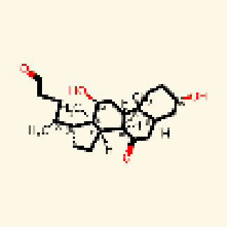 C[C@H](CCC=O)[C@H]1CC[C@H]2[C@@H]3C(=O)C[C@@H]4C[C@H](O)CC[C@]4(C)[C@H]3C[C@H](O)[C@]12C